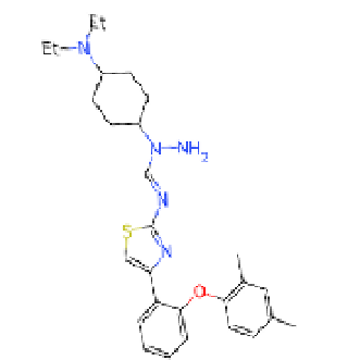 CCN(CC)C1CCC(N(N)C=Nc2nc(-c3ccccc3Oc3ccc(C)cc3C)cs2)CC1